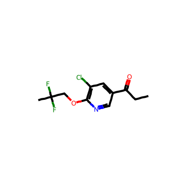 CCC(=O)c1cnc(OCC(C)(F)F)c(Cl)c1